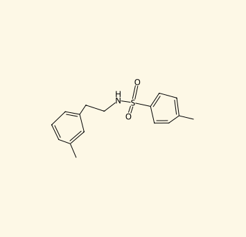 Cc1ccc(S(=O)(=O)NCCc2cccc(C)c2)cc1